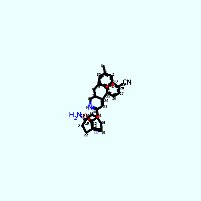 Cc1cccc(CC2CN=C(CC(=O)/C3=C\CCC[C@@H](N)CC3)C=C2c2ccc(C#N)cc2)c1